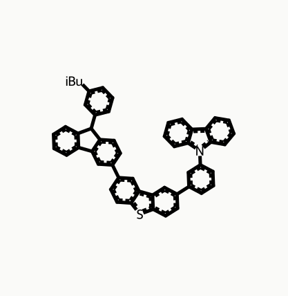 CCC(C)c1cccc(C2c3ccccc3-c3cc(-c4ccc5sc6ccc(-c7cccc(-n8c9ccccc9c9ccccc98)c7)cc6c5c4)ccc32)c1